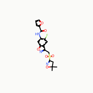 CC1(C)CC(S(=O)(=O)Cc2noc3cc(NC(=O)c4ccco4)c(F)cc23)=NO1